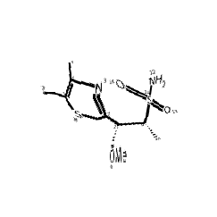 CO[C@H](c1nc(C)c(C)s1)[C@@H](C)S(N)(=O)=O